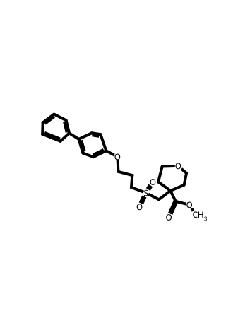 COC(=O)C1(CS(=O)(=O)CCCOc2ccc(-c3ccccc3)cc2)CCOCC1